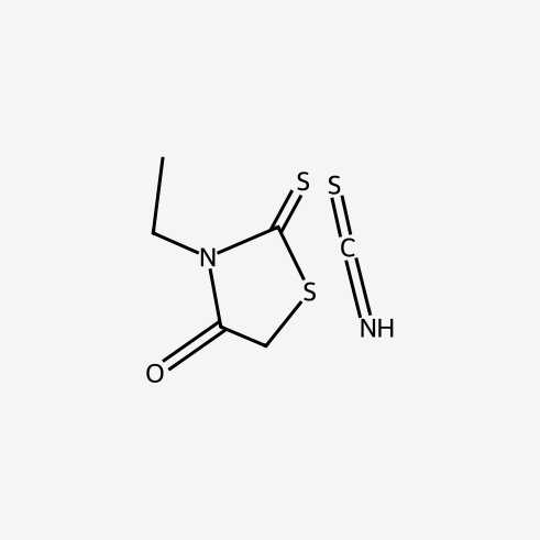 CCN1C(=O)CSC1=S.N=C=S